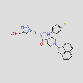 COCc1cn(CCN2CN(c3ccc(F)cc3)C3(CCN(C4Cc5cccc6cccc4c56)CC3)C2=O)nn1